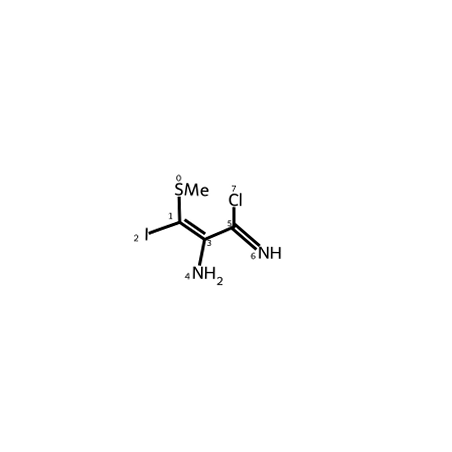 CS/C(I)=C(/N)C(=N)Cl